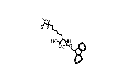 CC(C)(CCCCC[C@H](NC(=O)OCC1c2ccccc2-c2ccccc21)C(=O)O)C(S)S